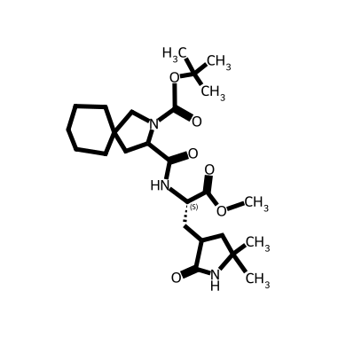 COC(=O)[C@H](CC1CC(C)(C)NC1=O)NC(=O)C1CC2(CCCCC2)CN1C(=O)OC(C)(C)C